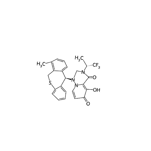 Cc1cccc2c1CSc1ccccc1[C@@H]2N1CN([C@H](C)C(F)(F)F)C(=O)c2c(O)c(=O)ccn21